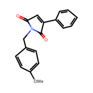 COc1ccc(CN2C(=O)C=C(c3ccccc3)C2=O)cc1